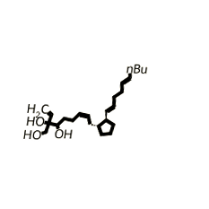 C=CC(O)(CO)C(O)CC/C=C\C[C@H]1CCC[C@@H]1/C=C/CC/C=C/CCCC